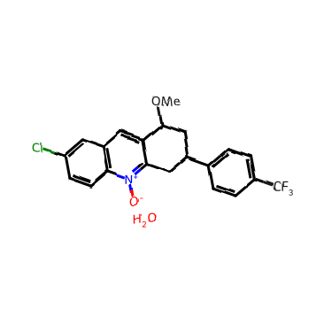 COC1CC(c2ccc(C(F)(F)F)cc2)Cc2c1cc1cc(Cl)ccc1[n+]2[O-].O